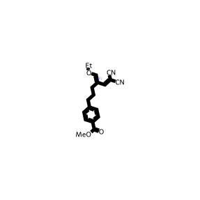 CCO/C=C(/C=C(C#N)C#N)CCCc1ccc(C(=O)OC)cc1